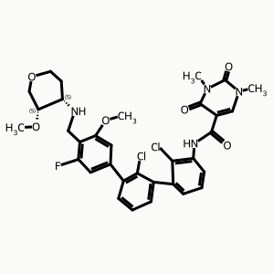 COc1cc(-c2cccc(-c3cccc(NC(=O)c4cn(C)c(=O)n(C)c4=O)c3Cl)c2Cl)cc(F)c1CN[C@H]1CCOC[C@H]1OC